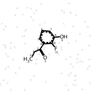 CCC(=O)c1cccc(O)c1F